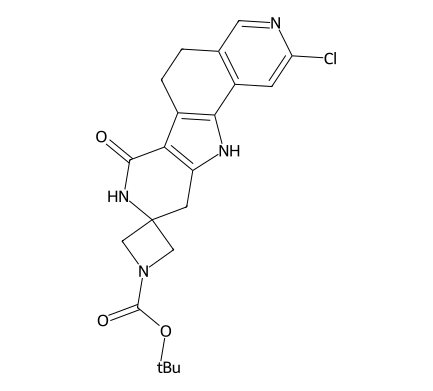 CC(C)(C)OC(=O)N1CC2(Cc3[nH]c4c(c3C(=O)N2)CCc2cnc(Cl)cc2-4)C1